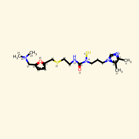 Cc1ncn(CCCN(S)C(=O)NCCSCc2ccc(CN(C)C)o2)c1C